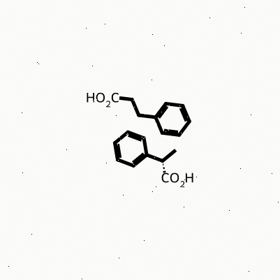 C[C@H](C(=O)O)c1ccccc1.O=C(O)CCc1ccccc1